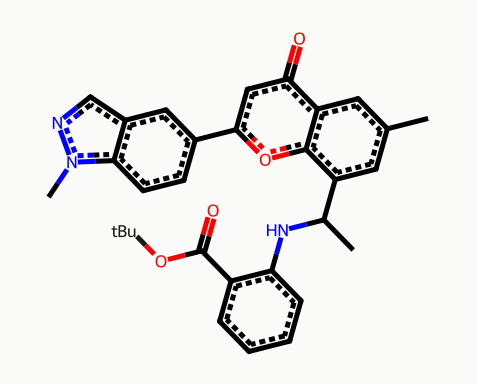 Cc1cc(C(C)Nc2ccccc2C(=O)OC(C)(C)C)c2oc(-c3ccc4c(cnn4C)c3)cc(=O)c2c1